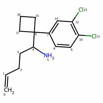 C=CCCC(N)C1(c2ccc(Cl)c(Cl)c2)CCC1